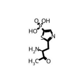 CC(=O)[C@@H](N)Cc1ncc(P(=O)(O)O)s1